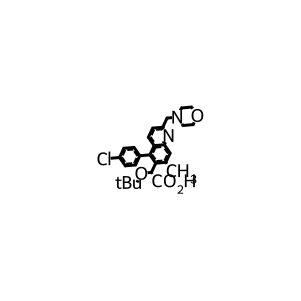 Cc1cc2nc(CN3CCOCC3)ccc2c(-c2ccc(Cl)cc2)c1[C@H](OC(C)(C)C)C(=O)O